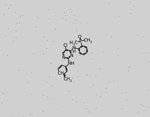 C=C/C=C(\C=C/C)Nc1ncc(Cl)c(Nc2ccccc2P(C)(C)=O)n1